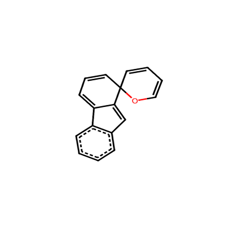 C1=COC2(C=C1)C=CC=C1C2=Cc2ccccc21